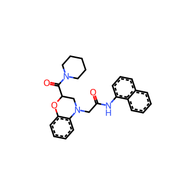 O=C(CN1CC(C(=O)N2CCCCC2)Oc2ccccc21)Nc1cccc2ccccc12